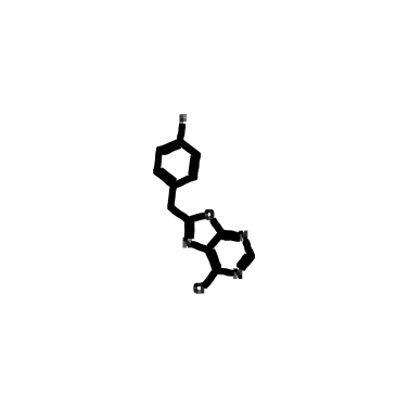 Fc1ccc(Cc2nc3c(Cl)ncnc3o2)cc1